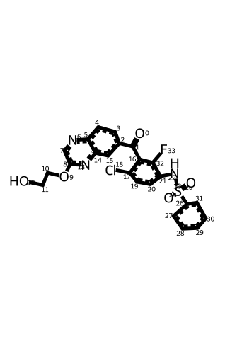 O=C(c1ccc2ncc(OCCO)nc2c1)c1c(Cl)ccc(NS(=O)(=O)c2ccccc2)c1F